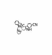 Cc1c(CC[C@@H]2CCCN2Cc2cccc3ccccc23)[nH]c2cc(C#N)ccc12